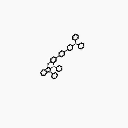 c1ccc(N(c2ccccc2)c2ccc(-c3ccc(-c4ccc5c(c4)N(c4ccccc4)c4c(c6ccccc6n4-c4ccccc4)O5)cc3)cc2)cc1